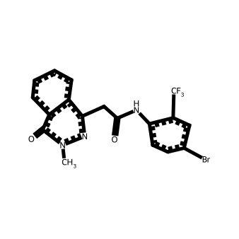 Cn1nc(CC(=O)Nc2ccc(Br)cc2C(F)(F)F)c2ccccc2c1=O